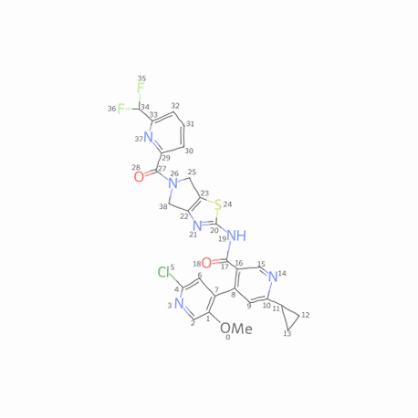 COc1cnc(Cl)cc1-c1cc(C2CC2)ncc1C(=O)Nc1nc2c(s1)CN(C(=O)c1cccc(C(F)F)n1)C2